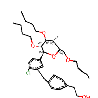 CCCCOC[C@H]1O[C@@H](c2ccc(Cl)c(Cc3ccc(CCO)cc3)c2)[C@H](OCCCC)[C@@H](OCCCC)[C@@H]1C